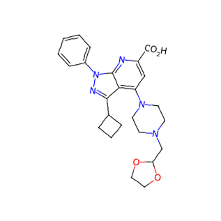 O=C(O)c1cc(N2CCN(CC3OCCO3)CC2)c2c(C3CCC3)nn(-c3ccccc3)c2n1